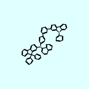 c1ccc(-n2c3ccccc3c3ccc(-c4cccc(-c5ccc(N(c6ccc7c(c6)C(c6ccccc6)(c6ccccc6)c6ccccc6-7)c6cccc7ccccc67)cc5)c4)cc32)cc1